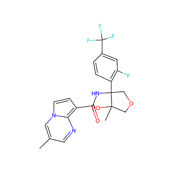 Cc1cnc2c(C(=O)NC3(c4ccc(C(F)(F)F)cc4F)COCC3(C)O)ccn2c1